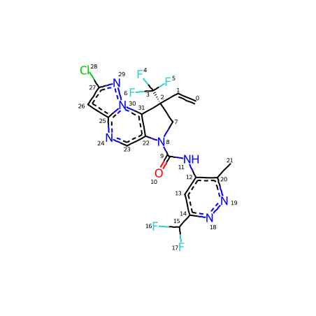 C=C[C@@]1(C(F)(F)F)CN(C(=O)Nc2cc(C(F)F)nnc2C)c2cnc3cc(Cl)nn3c21